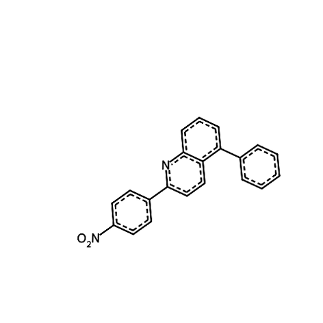 O=[N+]([O-])c1ccc(-c2ccc3c(-c4ccccc4)cccc3n2)cc1